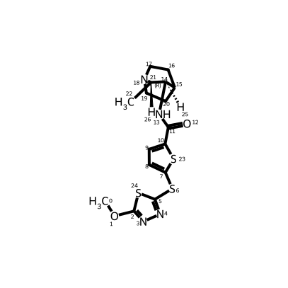 COc1nnc(Sc2ccc(C(=O)N[C@@H]3C4CCN(CC4)[C@H]3C)s2)s1